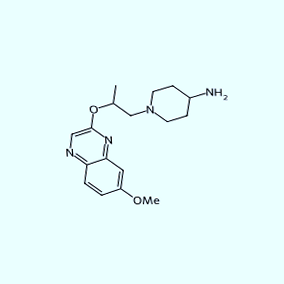 COc1ccc2ncc(OC(C)CN3CCC(N)CC3)nc2c1